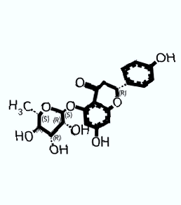 C[C@@H]1O[C@@H](Oc2cc(O)cc3c2C(=O)C[C@H](c2ccc(O)cc2)O3)[C@H](O)[C@H](O)[C@H]1O